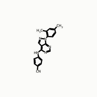 Cc1ccc(-n2ncc3c(Nc4ccc(C#N)cc4)ncnc32)c(C)c1